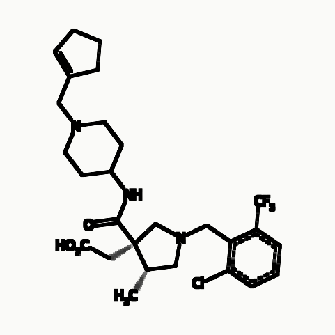 C[C@H]1CN(Cc2c(Cl)cccc2C(F)(F)F)C[C@]1(CC(=O)O)C(=O)NC1CCN(CC2=CCCC2)CC1